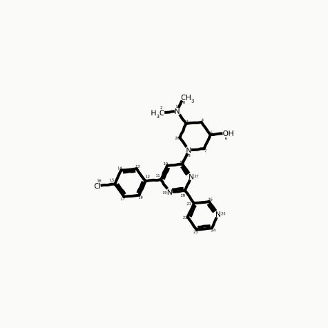 CN(C)C1CC(O)CN(c2cc(-c3ccc(Cl)cc3)nc(-c3cccnc3)n2)C1